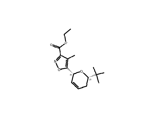 CCOC(=O)c1noc([C@H]2C=CC[C@@H](C(C)(C)C)O2)c1C